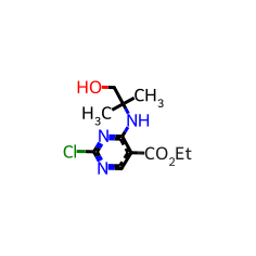 CCOC(=O)c1cnc(Cl)nc1NC(C)(C)CO